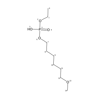 CCOP(=O)(O)OCCCCCCOC